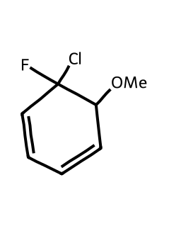 COC1C=CC=CC1(F)Cl